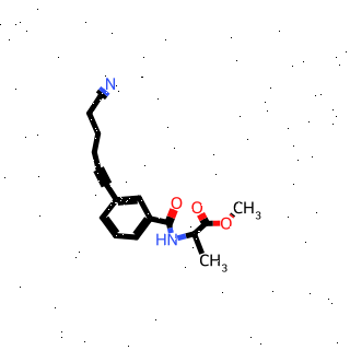 COC(=O)C(C)NC(=O)c1cccc(C#CCCCC#N)c1